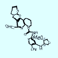 CO[C@@H]1COC[C@H]1Nc1cc(NC(=O)N2CCCc3cc(CN4CCCCOC4=O)c(C=O)nc32)ncc1C#N